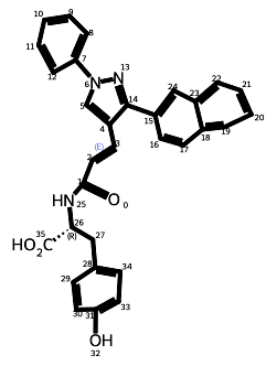 O=C(/C=C/c1cn(-c2ccccc2)nc1-c1ccc2ccccc2c1)N[C@H](Cc1ccc(O)cc1)C(=O)O